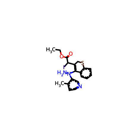 CCOC(=O)C(I)C1=C(N(N)c2cnccc2C)c2ccccc2SC1